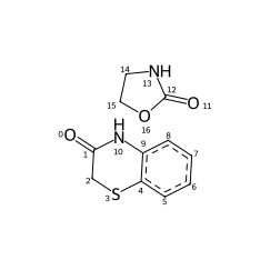 O=C1CSc2ccccc2N1.O=C1NCCO1